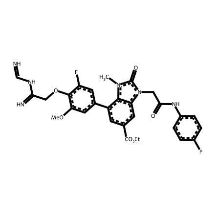 CCOC(=O)c1cc(-c2cc(F)c(OCC(=N)NC=N)c(OC)c2)c2c(c1)n(CC(=O)Nc1ccc(F)cc1)c(=O)n2C